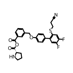 N#CCCSc1cc(F)c(F)cc1-c1ccc(OCc2cccc(C(=O)OC(=O)[C@@H]3CCCN3)c2)cc1